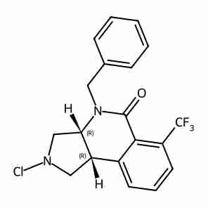 O=C1c2c(cccc2C(F)(F)F)[C@@H]2CN(Cl)C[C@@H]2N1Cc1ccccc1